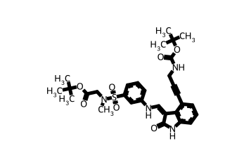 CN(CC(=O)OC(C)(C)C)S(=O)(=O)c1cccc(N/C=C2\C(=O)Nc3cccc(C#CCNC(=O)OC(C)(C)C)c32)c1